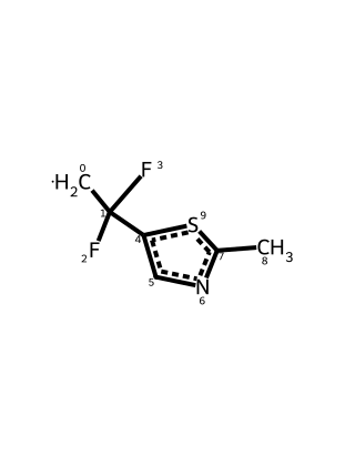 [CH2]C(F)(F)c1cnc(C)s1